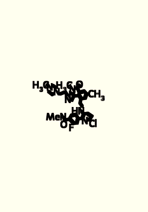 CNC(=O)c1ccc(-c2nc(Cl)ccc2NCCc2cc(C)cc3c(=O)n(C)c4c(cnn4CCN4CCN(C)CC4)c23)cc1F